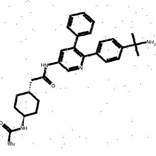 CC(C)(C)C(=O)N[C@H]1CC[C@H](CC(=O)Nc2cnc(-c3ccc(C(C)(C)N)cc3)c(-c3ccccc3)c2)CC1